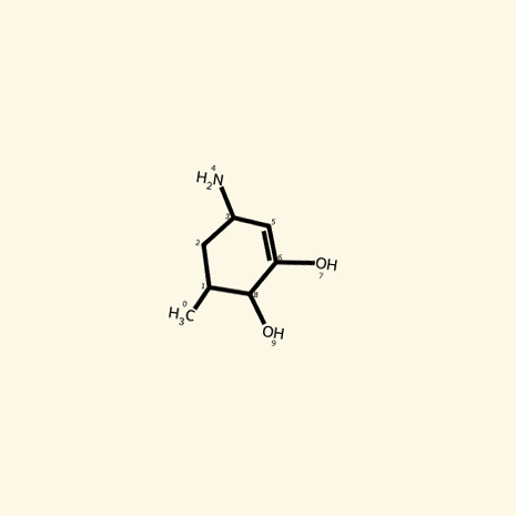 CC1CC(N)C=C(O)C1O